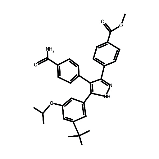 COC(=O)c1ccc(-c2n[nH]c(-c3cc(OC(C)C)cc(C(C)(C)C)c3)c2-c2ccc(C(N)=O)cc2)cc1